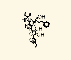 CCc1cc([C@H]2O[C@@H](n3cnc4c(NC(CC)CC)nc(N(CO)CCc5ccccc5)nc43)[C@H](O)[C@@H]2O)on1